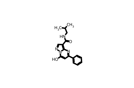 CC(C)CNC(=O)c1cnn2c(O)cc(-c3ccccc3)nc12